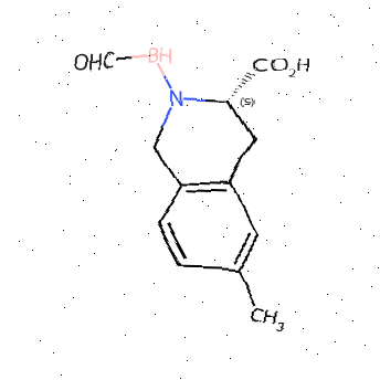 Cc1ccc2c(c1)C[C@@H](C(=O)O)N(BC=O)C2